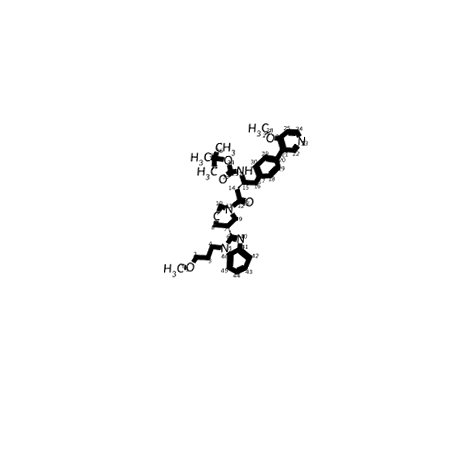 COCCCn1c([C@@H]2CCCN(C(=O)C[C@@H](Cc3ccc(-c4cnccc4OC)cc3)NC(=O)OC(C)(C)C)C2)nc2ccccc21